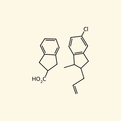 C=CCC1Cc2cc(Cl)ccc2C1C.O=C(O)C1Cc2ccccc2C1